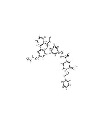 CC/C(=C(/c1ccc(OCC=O)cc1)c1ccc(OCC(=O)c2ccc(OCc3ccccc3)c(OC)c2)cc1)c1ccccc1